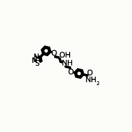 NC(=O)c1ccc(OCCNCC(O)COc2cccc(-c3csnn3)c2)cc1